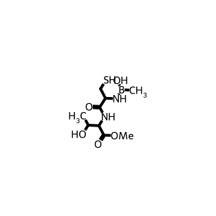 COC(=O)C(NC(=O)C(CS)NB(C)O)C(C)O